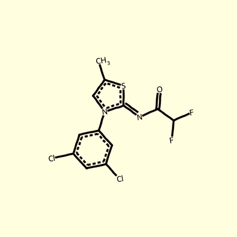 Cc1cn(-c2cc(Cl)cc(Cl)c2)c(=NC(=O)C(F)F)s1